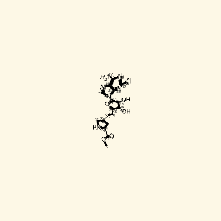 COC(=O)[C@@H]1C[C@@H](SC[C@H]2O[C@@H](n3cnc4c(N)nc(Cl)nc43)[C@H](O)[C@@H]2O)CN1